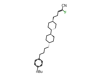 CCCCc1ccc(CCCC[C@H]2CC[C@H]([C@H]3CC[C@H](CCC=C(F)C#N)CC3)CC2)cc1